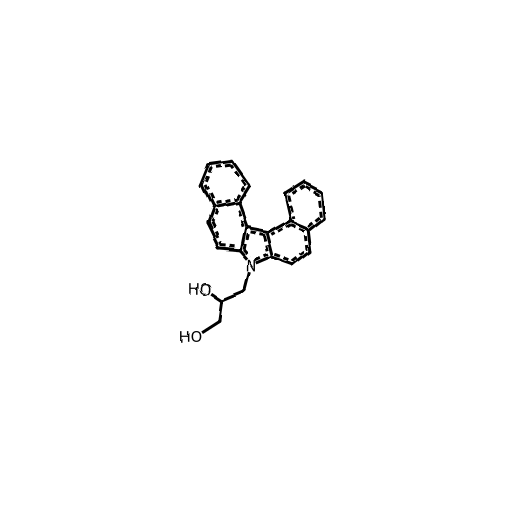 OCC(O)Cn1c2ccc3ccccc3c2c2c3ccccc3ccc21